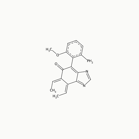 C/C=C1/C(=O)C(c2c(P)cccc2OC)=C2N=CN=C2/C1=C/C